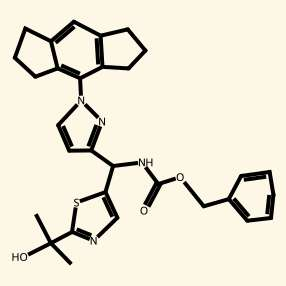 CC(C)(O)c1ncc(C(NC(=O)OCc2ccccc2)c2ccn(-c3c4c(cc5c3CCC5)CCC4)n2)s1